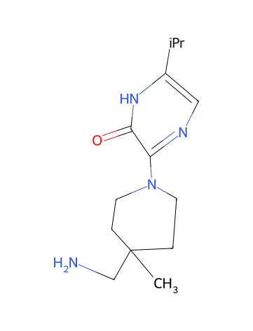 CC(C)c1cnc(N2CCC(C)(CN)CC2)c(=O)[nH]1